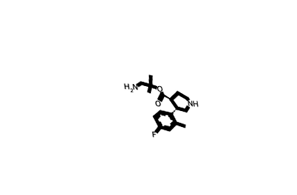 Cc1cc(F)ccc1[C@H]1CNCC[C@@H]1C(=O)OC(C)(C)CN